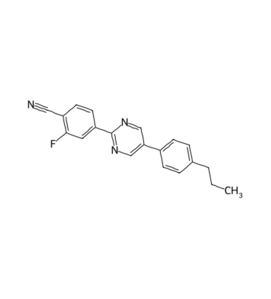 CCCc1ccc(-c2cnc(-c3ccc(C#N)c(F)c3)nc2)cc1